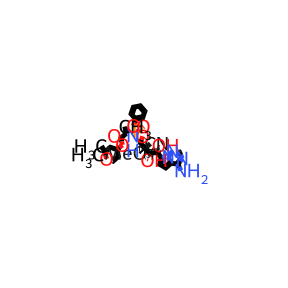 CO[C@](C#N)(COP(=O)(NC(C)C(=O)OC1CCOC(C)(C)C1)Oc1ccccc1)[C@@H](O)[C@@H](O)c1ccc2c(N)ncnn12